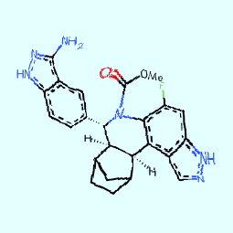 COC(=O)N1c2c(F)cc3[nH]ncc3c2[C@H]2C3CCC(C3)[C@H]2[C@@H]1c1ccc2[nH]nc(N)c2c1